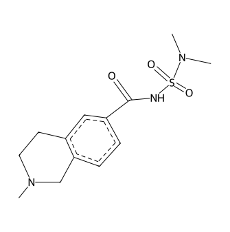 CN1CCc2cc(C(=O)NS(=O)(=O)N(C)C)ccc2C1